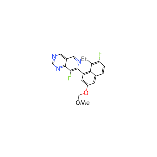 CCc1c(F)ccc2cc(OCOC)cc(-c3ncc4cncnc4c3F)c12